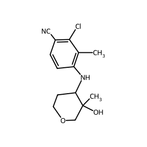 Cc1c(NC2CCOCC2(C)O)ccc(C#N)c1Cl